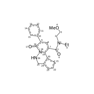 CCN(CCOC)C(=O)c1cc(-c2ccccc2)c(=O)n2c1-c1sccc1CN2